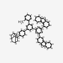 Cc1ccccc1-c1cc(-c2ccc(C34CC5CC(CC(C5)C3)C4)cc2)cc(-c2nc(-c3ccc4oc5ccccc5c4c3)nc(-c3cccc4oc5ccccc5c34)n2)c1